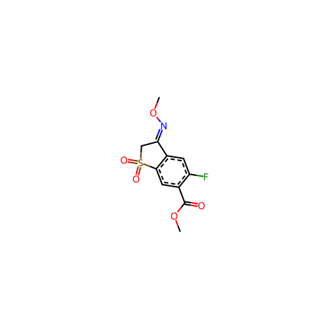 CO/N=C1\CS(=O)(=O)c2cc(C(=O)OC)c(F)cc21